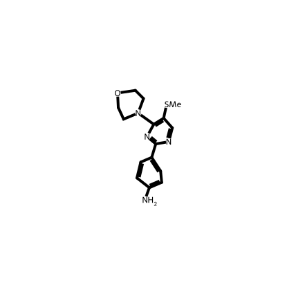 CSc1cnc(-c2ccc(N)cc2)nc1N1CCOCC1